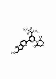 CCC1COCC(=O)N1c1cc(C(C)S(C)(=O)=O)cc(-c2ccc3[nH]c(CO)cc3n2)n1